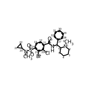 CN1CCCCC1C(NC(=O)c1ccc(S(=O)(=O)N(C)C2CC2)c(Br)c1Cl)c1ccccc1